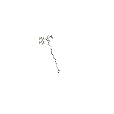 C[Si](C)(C)OCCCCCCCCCCCCCl